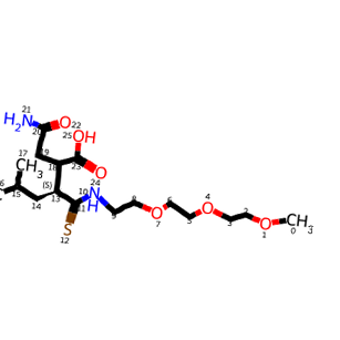 COCCOCCOCCNC(=S)[C@@H](CC(C)C)C(CC(N)=O)C(=O)O